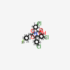 O=C(O)[C@@H](c1cccc(Cl)c1)N1C(=O)[C@@H](Cc2ccc(F)cc2)O[C@H](c2ccc(Cl)cc2)[C@@H]1c1ccc(Cl)cc1